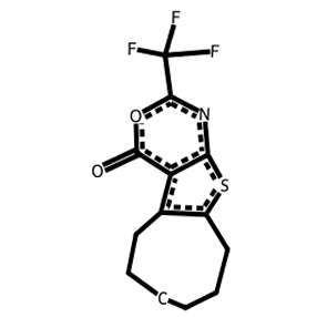 O=c1oc(C(F)(F)F)nc2sc3c(c12)CCCCCC3